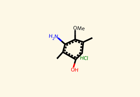 COc1c(C)cc(O)c(C)c1N.Cl